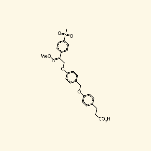 CON=C(COc1ccc(COc2ccc(CCC(=O)O)cc2)cc1)c1ccc(S(C)(=O)=O)cc1